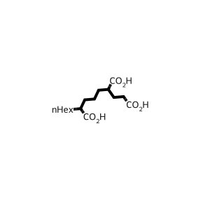 CCCCCCC(CCCC(CCC(=O)O)C(=O)O)C(=O)O